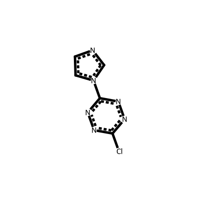 Clc1nnc(-n2ccnc2)nn1